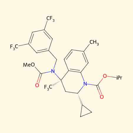 COC(=O)N(Cc1cc(C(F)(F)F)cc(C(F)(F)F)c1)[C@]1(C(F)(F)F)C[C@@H](C2CC2)N(C(=O)OC(C)C)c2cc(C)ccc21